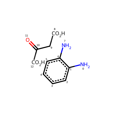 Nc1ccccc1N.O=C(O)CC(=O)C(=O)O